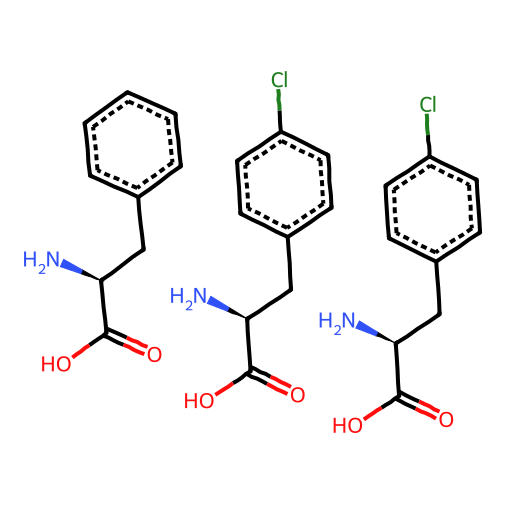 N[C@@H](Cc1ccc(Cl)cc1)C(=O)O.N[C@@H](Cc1ccc(Cl)cc1)C(=O)O.N[C@@H](Cc1ccccc1)C(=O)O